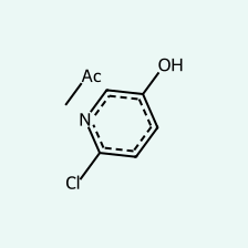 CC(C)=O.Oc1ccc(Cl)nc1